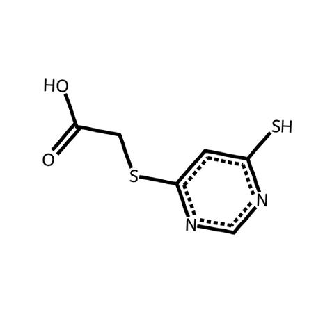 O=C(O)CSc1cc(S)ncn1